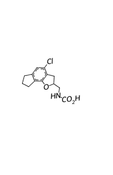 O=C(O)NCC1Cc2c(Cl)cc3c(c2O1)CCC3